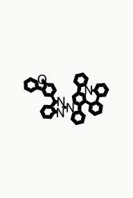 c1ccc2c(c1)-c1ccccc1-n1c3ccccc3c3cc4c(c-2c31)c1ccccc1n4-c1nc(-c2ccc3oc4ccccc4c3c2)c2ccccc2n1